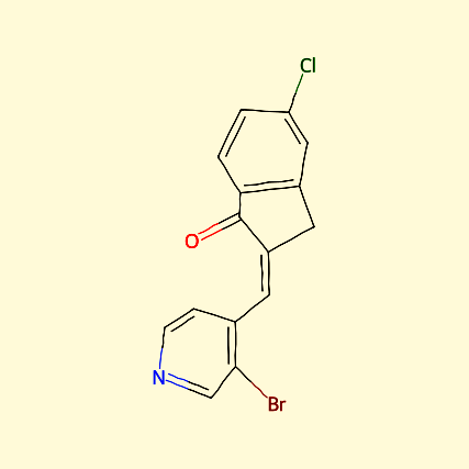 O=C1C(=Cc2ccncc2Br)Cc2cc(Cl)ccc21